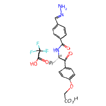 CC(C)[C@H](NC(=O)c1ccc(C=NN)cc1)C(=O)c1ccc(OCC(=O)O)cc1.O=C(O)C(F)(F)F